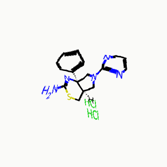 Cl.Cl.NC1=N[C@@]2(c3ccccc3)CN(c3ncccn3)C[C@H]2CS1